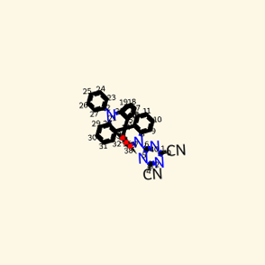 N#Cc1nc(C#N)nc(N2c3ccccc3C3(c4ccccc4N(c4ccccc4)c4ccccc43)c3ccccc32)n1